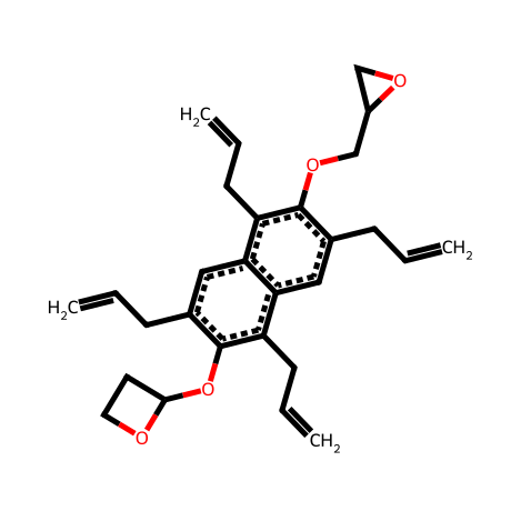 C=CCc1cc2c(CC=C)c(OC3CCO3)c(CC=C)cc2c(CC=C)c1OCC1CO1